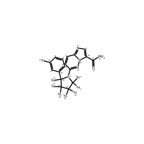 [2H]C1([2H])N(c2ccc3ncc(C(N)=O)n3n2)C([2H])(c2cccc(F)c2)C([2H])([2H])C1([2H])[2H]